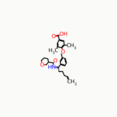 C=CCCC[C@@H](NC(=O)C1CCCOC1)c1cccc(COc2c(C)cc(C(=O)O)cc2C)c1